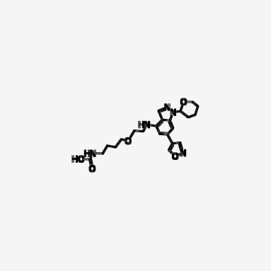 O=C(O)NCCCCOCCNc1cc(-c2cnoc2)cc2c1cnn2C1CCCCO1